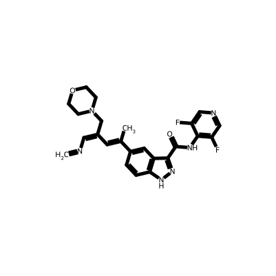 C=N/C=C(\C=C(/C)c1ccc2[nH]nc(C(=O)Nc3c(F)cncc3F)c2c1)CN1CCOCC1